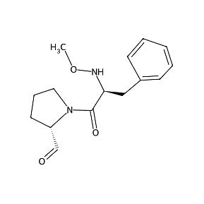 CON[C@@H](Cc1ccccc1)C(=O)N1CCC[C@H]1C=O